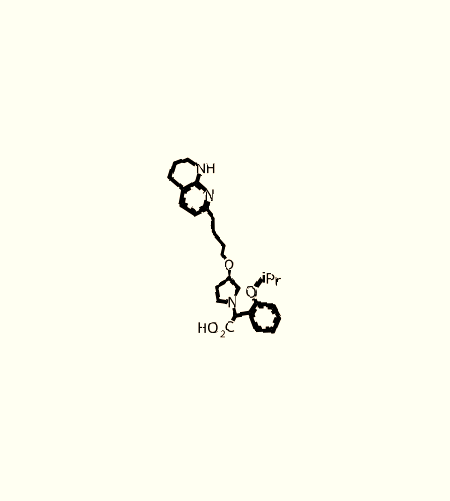 CC(C)Oc1ccccc1C(C(=O)O)N1CC[C@@H](OCCCCc2ccc3c(n2)NCCC3)C1